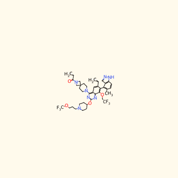 C=CC(=O)N1CC2(CCN(c3nc(OC4CCN(CCCOC(F)(F)F)CC4)nc4c(OCC(F)(F)F)c(-c5c(C)ccc6[nH]ncc56)c(C=C)cc34)CC2)C1